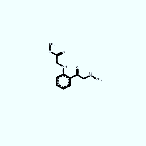 CNCC(=O)c1ccccc1NCC(=O)OC